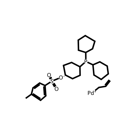 C1CCC(P(C2CCCCC2)C2CCCCC2)CC1.C=C[CH2][Pd+].Cc1ccc(S(=O)(=O)[O-])cc1